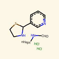 CCCCCCCNC=O.Cl.Cl.c1cncc(C2NCCS2)c1